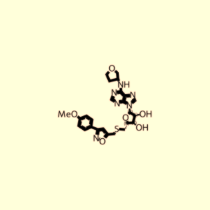 COc1ccc(-c2cc(CSC[C@@H]3O[C@@H](n4cnc5c(NC6CCOC6)ncnc54)[C@@H](O)[C@H]3O)on2)cc1